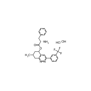 CC1Cc2nnc(-c3cccc(C(F)(F)F)c3)cc2C(OC(=O)[C@@H](N)Cc2ccccc2)C1.Cl.Cl